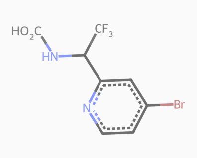 O=C(O)NC(c1cc(Br)ccn1)C(F)(F)F